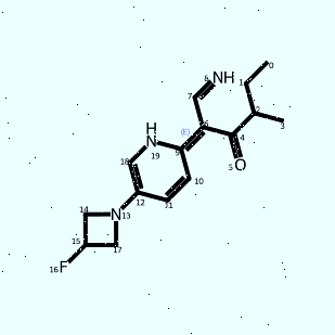 CCC(C)C(=O)/C(C=N)=C1\C=CC(N2CC(F)C2)=CN1